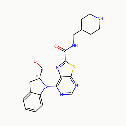 O=C(NCC1CCNCC1)c1nc2c(N3c4ccccc4C[C@@H]3CO)ncnc2s1